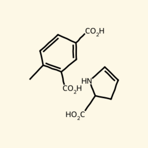 Cc1ccc(C(=O)O)cc1C(=O)O.O=C(O)C1CC=CN1